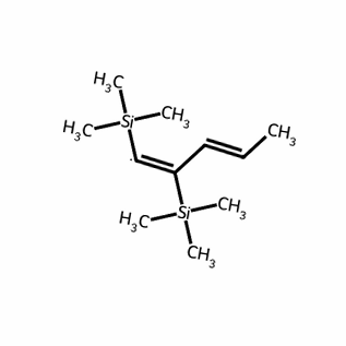 C/C=C/C(=[C]\[Si](C)(C)C)[Si](C)(C)C